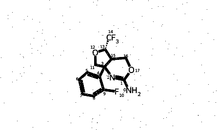 NC1=NC2(c3ccccc3F)CO[C@H](C(F)(F)F)C2CO1